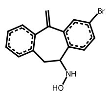 C=C1c2ccccc2CC(NO)c2ccc(Br)cc21